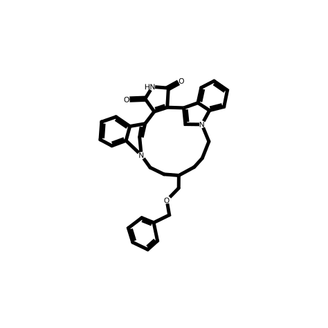 O=C1NC(=O)C2=C1c1cn(c3ccccc13)CCCC(COCc1ccccc1)CCn1cc2c2ccccc21